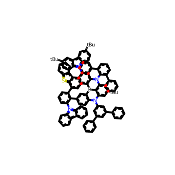 CC(C)(C)c1cc2c3c(c1)N(c1c(-c4ccccc4)cccc1-c1ccccc1)c1cc(-n4c5ccc(C(C)(C)C)cc5c5cc(C(C)(C)C)ccc54)ccc1B3c1cc(-c3c(-c4cccc5c4sc4ccccc45)cccc3-n3c4ccccc4c4ccccc43)ccc1N2c1cc(-c2ccccc2)cc(-c2ccccc2)c1